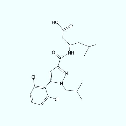 CC(C)CC(CC(=O)O)NC(=O)c1cc(-c2c(Cl)cccc2Cl)n(CC(C)C)n1